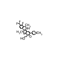 Cc1nc(N[C@H](C)c2cccc(C(F)F)c2F)c2cc(C3=CCN(C)CC3)c(=O)n(CCO)c2n1